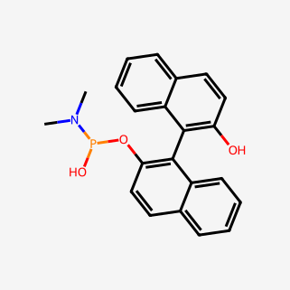 CN(C)P(O)Oc1ccc2ccccc2c1-c1c(O)ccc2ccccc12